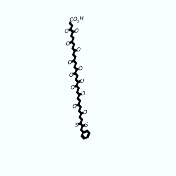 O=C(O)CCC(=O)C(=O)CCC(=O)CCC(=O)CCC(=O)CCC(=O)C(=O)CCC(=O)C(=O)CCC(=O)CCC(=O)CCC(=O)CCC(=S)C(=S)Cc1ccccc1